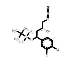 CC(C)(C)[Si](C)(C)OC(C[C@@H](O)CN=[N+]=[N-])c1ccc(Cl)c(Cl)c1